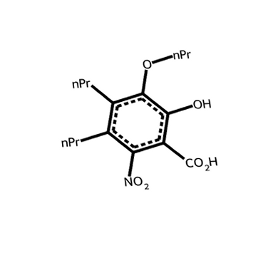 CCCOc1c(O)c(C(=O)O)c([N+](=O)[O-])c(CCC)c1CCC